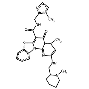 CC1C=C(NCC2CCCCN2C)N=C2C1C(=O)C(C(=O)NCc1nccn1C)=C1Sc3ccccc3N21